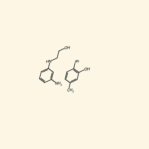 Cc1ccc(C(C)C)c(O)c1.Nc1cccc(NCCO)c1